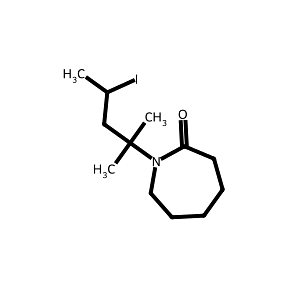 CC(I)CC(C)(C)N1CCCCCC1=O